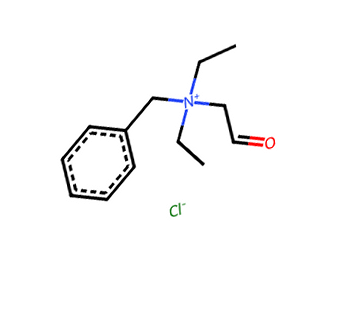 CC[N+](CC)(CC=O)Cc1ccccc1.[Cl-]